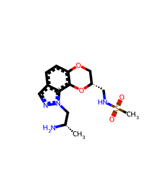 C[C@H](N)Cn1ncc2ccc3c(c21)O[C@@H](CNS(C)(=O)=O)CO3